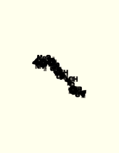 COc1ccc(S(=O)(=O)N2CCC3(CC2)CC(NCC(O)COc2cccc(S(=O)(=O)C4CC4)c2)CO3)cc1-c1ccc(C2(N)CC2)cc1